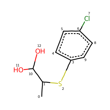 CC(Sc1ccc(Cl)cc1)C(O)O